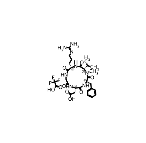 CC(C)[C@H]1C(=O)N[C@@H](CCCN=C(N)N)C(=O)NCC(=O)N[C@@H](CC(=O)O)C(=O)N[C@H](Cc2ccccc2)C(=O)N1C.O=C(O)C(F)(F)F